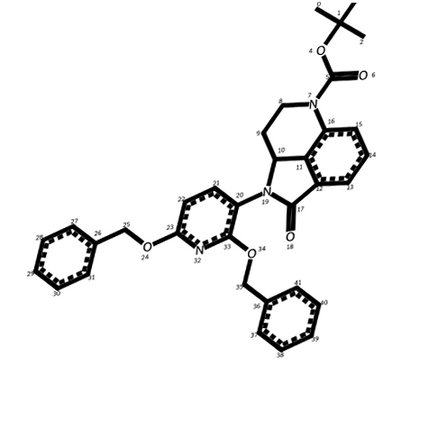 CC(C)(C)OC(=O)N1CCC2c3c(cccc31)C(=O)N2c1ccc(OCc2ccccc2)nc1OCc1ccccc1